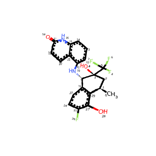 C[C@@H]1C[C@@](O)(C(F)(F)F)[C@@H](Nc2cccc3[nH]c(=O)ccc23)c2ccc(F)c(O)c21